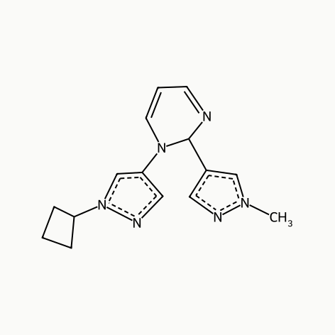 Cn1cc(C2N=CC=CN2c2cnn(C3CCC3)c2)cn1